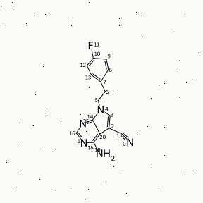 N#Cc1cn(CCc2ccc(F)cc2)c2ncnc(N)c12